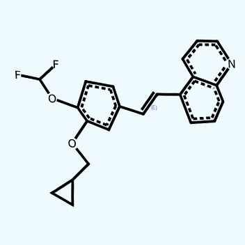 FC(F)Oc1ccc(/C=C/c2cccc3ncccc23)cc1OCC1CC1